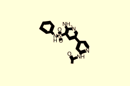 CC(=O)Nc1cc(-c2cnc(N)c(S(=O)(=O)Nc3ccccc3)c2)ccn1